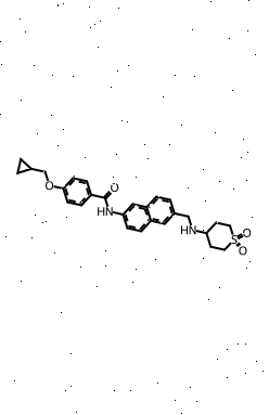 O=C(Nc1ccc2cc(CNC3CCS(=O)(=O)CC3)ccc2c1)c1ccc(OCC2CC2)cc1